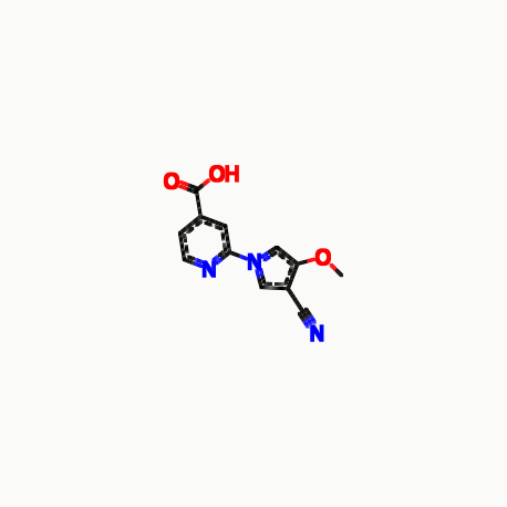 COc1cn(-c2cc(C(=O)O)ccn2)cc1C#N